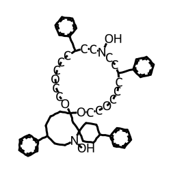 ON1CCC(c2ccccc2)CCCOCCOC2(CCCC(c3ccccc3)CCN(O)C3(CCC(c4ccccc4)CC3)C2)OCCOCCCC(c2ccccc2)CC1